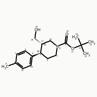 Cc1ccc([C@@H]2CCN(C(=O)OC(C)(C)C)C[C@H]2CO)cc1